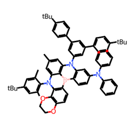 Cc1cc2c3c(c1)N(c1c(C)cc(C(C)(C)C)cc1C)c1c(ccc4c1OCCO4)B3c1ccc(N(c3ccccc3)c3ccccc3)cc1N2c1cc(-c2ccc(C(C)(C)C)cc2)cc(-c2ccc(C(C)(C)C)cc2)c1